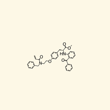 C=CC(=O)N(CCOc1ccc(C[C@H](Nc2ccccc2C(=O)c2ccccc2)C(=O)OC)cc1)Cc1ccccc1